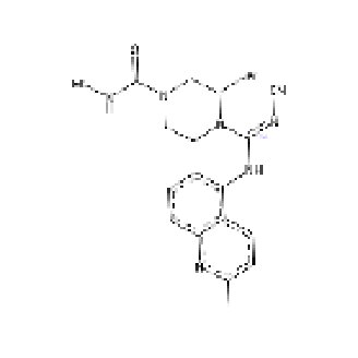 CCNC(=O)N1CCN(/C(=N\C#N)Nc2cccc3nc(C)ccc23)C(C(C)C)C1